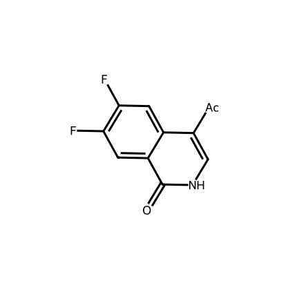 CC(=O)c1c[nH]c(=O)c2cc(F)c(F)cc12